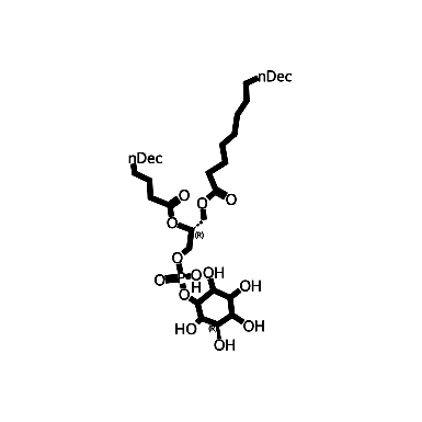 CCCCCCCCCCCCCCCCCC(=O)OC[C@H](COP(=O)(O)OC1C(O)C(O)C(O)[C@@H](O)C1O)OC(=O)CCCCCCCCCCCCC